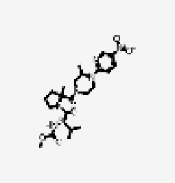 COC(=O)N[C@H](C(=O)N1CCCC1(C)C(=O)N1CCN(c2ccc([N+](=O)[O-])cn2)C(C)C1)C(C)C